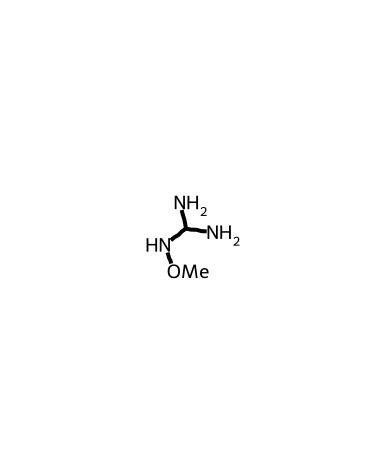 CONC(N)N